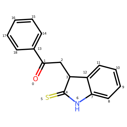 O=C(CC1C(=S)Nc2ccccc21)c1ccccc1